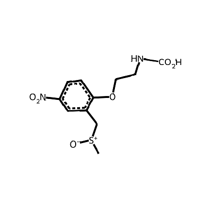 C[S+]([O-])Cc1cc([N+](=O)[O-])ccc1OCCNC(=O)O